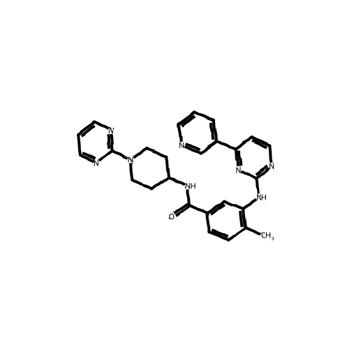 Cc1ccc(C(=O)NC2CCN(c3ncccn3)CC2)cc1Nc1nccc(-c2cccnc2)n1